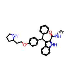 CCCNC(=O)c1[nH]c2ccccc2c1C(c1ccccc1)c1ccc(OCCC2CCCN2)cc1